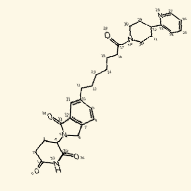 O=C1CCC(N2Cc3ccc(CCCCCCC(=O)N4CCC(c5ccccn5)CC4)cc3C2=O)C(=O)N1